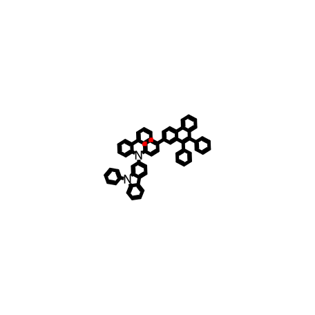 c1ccc(-c2ccccc2N(c2ccc(-c3ccc4c(c3)c(-c3ccccc3)c(-c3ccccc3)c3ccccc34)cc2)c2ccc3c4ccccc4n(-c4ccccc4)c3c2)cc1